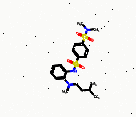 CC(C)CCN(C)c1ccccc1NS(=O)(=O)c1ccc(S(=O)(=O)N(C)C)cc1